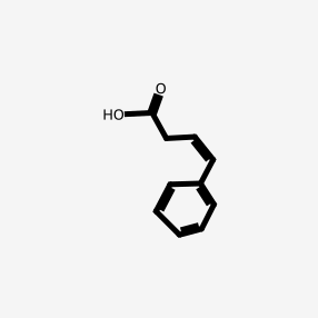 O=C(O)C/C=C\c1ccccc1